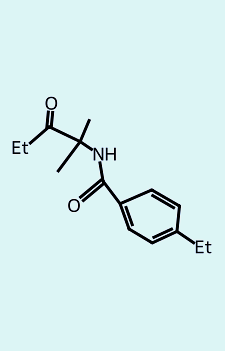 CCC(=O)C(C)(C)NC(=O)c1ccc(CC)cc1